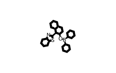 c1ccc(B(Oc2ccc3ccccc3c2-c2nc3ccccc3s2)c2ccccc2)cc1